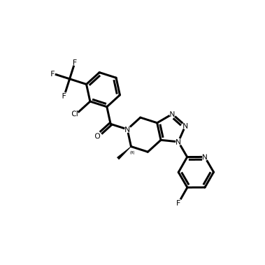 C[C@@H]1Cc2c(nnn2-c2cc(F)ccn2)CN1C(=O)c1cccc(C(F)(F)F)c1Cl